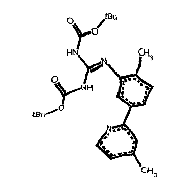 Cc1ccnc(-c2ccc(C)c(N=C(NC(=O)OC(C)(C)C)NC(=O)OC(C)(C)C)c2)c1